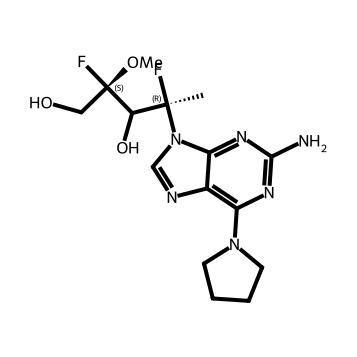 CO[C@](F)(CO)C(O)[C@@](C)(F)n1cnc2c(N3CCCC3)nc(N)nc21